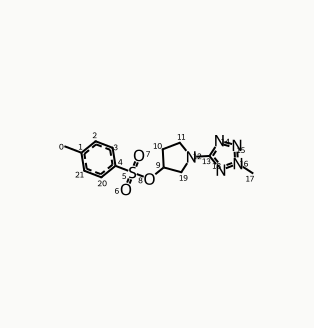 Cc1ccc(S(=O)(=O)OC2CCN(c3nnn(C)n3)C2)cc1